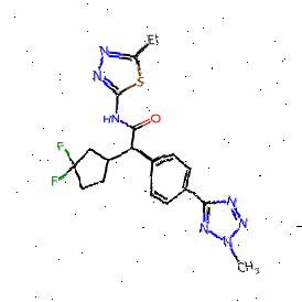 CCc1nnc(NC(=O)C(c2ccc(-c3nnn(C)n3)cc2)C2CCC(F)(F)C2)s1